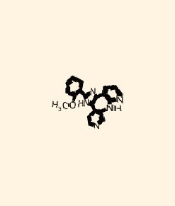 COc1ccccc1-c1nc2c([nH]1)-c1ccncc1Nc1ncccc1-2